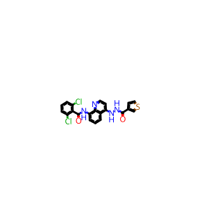 O=C(NNc1ccnc2c(NC(=O)c3c(Cl)cccc3Cl)cccc12)c1ccsc1